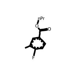 CCCOC(=O)c1ccc(F)c(C)c1